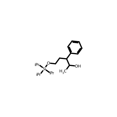 CC(O)C(CCO[Si](C(C)C)(C(C)C)C(C)C)c1ccccc1